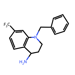 NC1CCN(Cc2ccccc2)c2cc(C(F)(F)F)ccc21